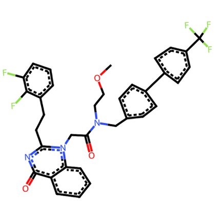 COCCN(Cc1ccc(-c2ccc(C(F)(F)F)cc2)cc1)C(=O)Cn1c(CCc2cccc(F)c2F)nc(=O)c2ccccc21